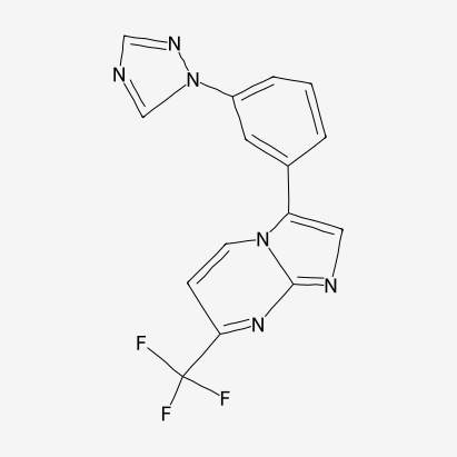 FC(F)(F)c1ccn2c(-c3cccc(-n4cncn4)c3)cnc2n1